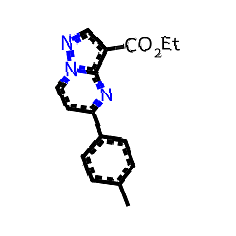 CCOC(=O)c1cnn2ccc(-c3ccc(C)cc3)nc12